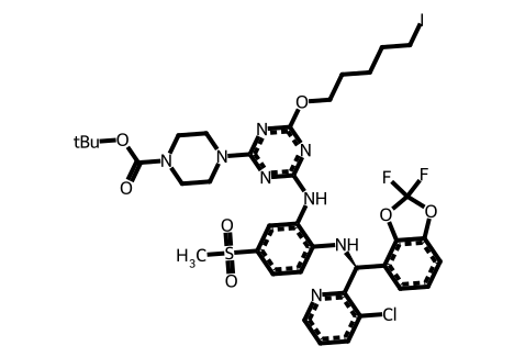 CC(C)(C)OC(=O)N1CCN(c2nc(Nc3cc(S(C)(=O)=O)ccc3N[C@@H](c3cccc4c3OC(F)(F)O4)c3ncccc3Cl)nc(OCCCCCI)n2)CC1